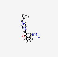 CCCN1CCN(CCCC(=O)c2ccccc2CN)CC1